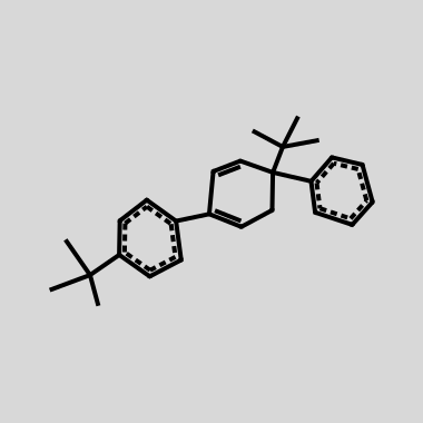 CC(C)(C)c1ccc(C2=CCC(c3ccccc3)(C(C)(C)C)C=C2)cc1